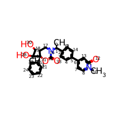 C[C@@H](c1ccc(-c2ccn(C)c(=O)c2)cc1)N1CC[C@@](c2ccccc2)([C@@](C)(O)CO)OC1=O